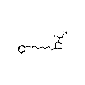 N#CCC(O)c1cccc(OCCCCCOCc2ccccc2)c1